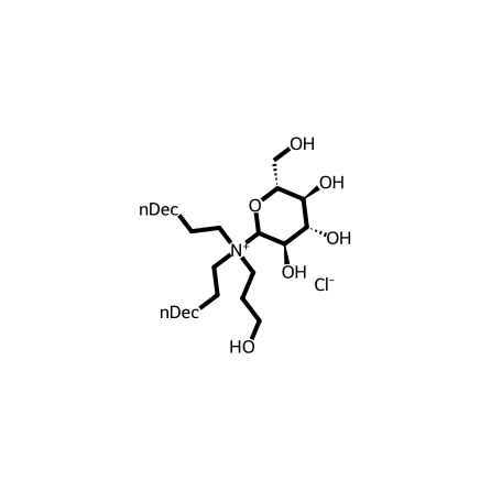 CCCCCCCCCCCC[N+](CCCO)(CCCCCCCCCCCC)C1O[C@H](CO)[C@@H](O)[C@H](O)[C@H]1O.[Cl-]